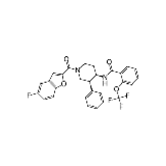 O=C(N[C@@H]1CCN(C(=O)c2cc3cc(F)ccc3o2)C[C@@H]1c1ccccc1)c1ccccc1OC(F)(F)F